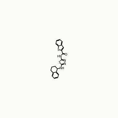 O=C(Nc1nnc(NC2CCCc3ccccc32)s1)c1cc2ccccc2s1